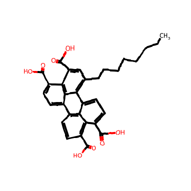 CCCCCCCCc1cc(C(=O)O)c2c(C(=O)O)ccc3c4ccc(C(=O)O)c5c(C(=O)O)ccc(c1c23)c54